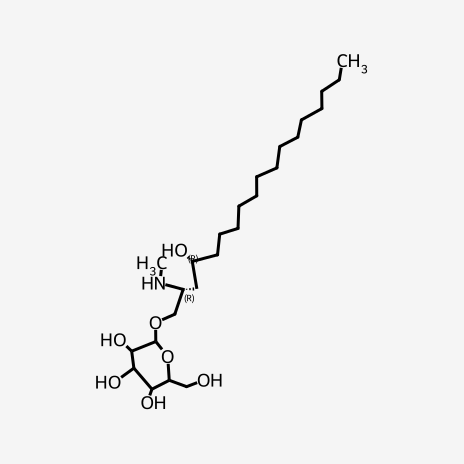 CCCCCCCCCCCCCC[C@@H](O)C[C@H](COC1OC(CO)C(O)C(O)C1O)NC